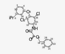 CC(C)c1[c]ccc(Oc2c(Cl)cc(NC(=O)C(=O)OCc3ccccc3)cc2Cl)c1